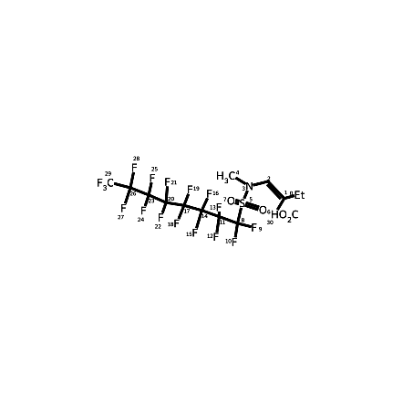 CCC(=CN(C)S(=O)(=O)C(F)(F)C(F)(F)C(F)(F)C(F)(F)C(F)(F)C(F)(F)C(F)(F)C(F)(F)F)C(=O)O